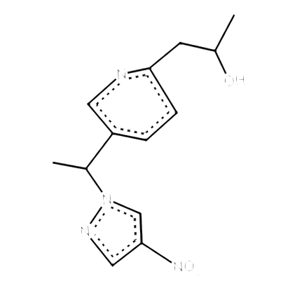 CC(O)Cc1ccc(C(C)n2cc([N+](=O)[O-])cn2)cn1